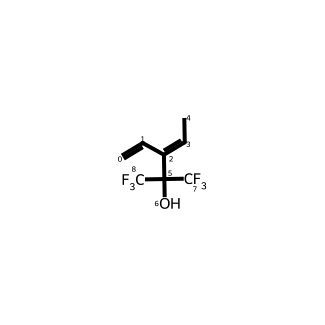 C=C/C(=C\C)C(O)(C(F)(F)F)C(F)(F)F